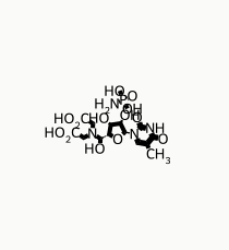 Cc1cn([C@@H]2O[C@H](C(O)N(CC(=O)O)CC(=O)O)[C@@H](O)[C@H]2O)c(=O)[nH]c1=O.NP(=O)(O)O